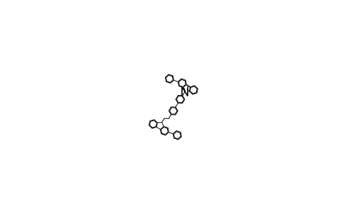 c1ccc(-c2ccc3c(c2)C(CCc2ccc(-c4ccc(-n5c6ccccc6c6ccc(-c7ccccc7)cc65)cc4)cc2)c2ccccc2-3)cc1